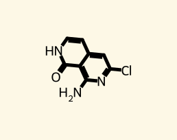 Nc1nc(Cl)cc2cc[nH]c(=O)c12